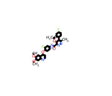 COc1cc2nccc(Oc3ccc(NC(=O)c4nnc(C)c(-c5ccc(F)cc5)c4OC(C)C)cc3F)c2cc1OC